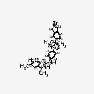 C=C/C(=C\C(=C)C)C(C)NC(=O)Nc1ccc(S(=O)(=O)C(C)(C)c2ccc3c(c2)CN(CC)C3)cc1